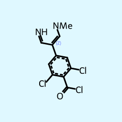 CN/C=C(\C=N)c1cc(Cl)c(C(=O)Cl)c(Cl)c1